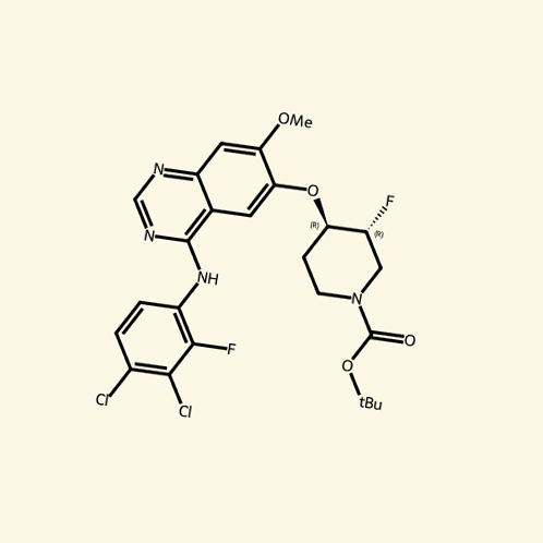 COc1cc2ncnc(Nc3ccc(Cl)c(Cl)c3F)c2cc1O[C@@H]1CCN(C(=O)OC(C)(C)C)C[C@H]1F